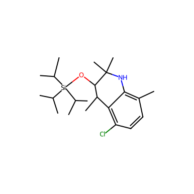 Cc1ccc(Cl)c2c1NC(C)(C)C(O[Si](C(C)C)(C(C)C)C(C)C)C2C